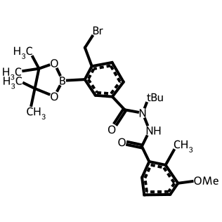 COc1cccc(C(=O)NN(C(=O)c2ccc(CBr)c(B3OC(C)(C)C(C)(C)O3)c2)C(C)(C)C)c1C